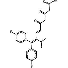 CC(C)C(/C=C/C(=O)CC(=O)CC(=O)O)=C(c1ccc(F)cc1)c1ccc(F)cc1